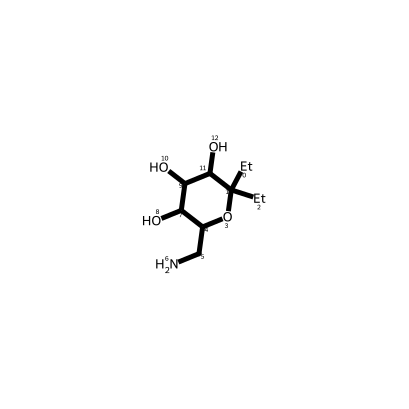 CCC1(CC)OC(CN)C(O)C(O)C1O